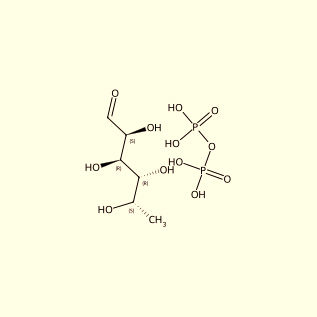 C[C@H](O)[C@@H](O)[C@@H](O)[C@H](O)C=O.O=P(O)(O)OP(=O)(O)O